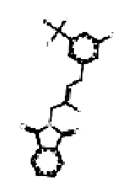 O=C1c2ccccc2C(=O)N1CC(F)=CCc1cc(F)cc(C(F)(F)F)c1